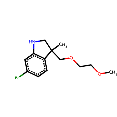 COCCOCC1(C)CNc2cc(Br)ccc21